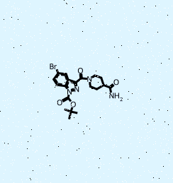 CC(C)(C)OC(=O)n1nc(C(=O)N2CCC(C(N)=O)CC2)c2cc(Br)ccc21